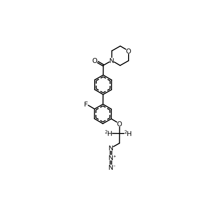 [2H]C([2H])(CN=[N+]=[N-])Oc1ccc(F)c(-c2ccc(C(=O)N3CCOCC3)cc2)c1